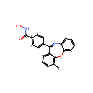 Cc1cccc2c1Oc1ccccc1N=C2c1ccc(C(=O)NO)cc1